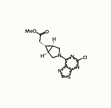 COC(=O)C[C@@H]1[C@H]2CN(c3nc(Cl)nc4scnc34)C[C@@H]12